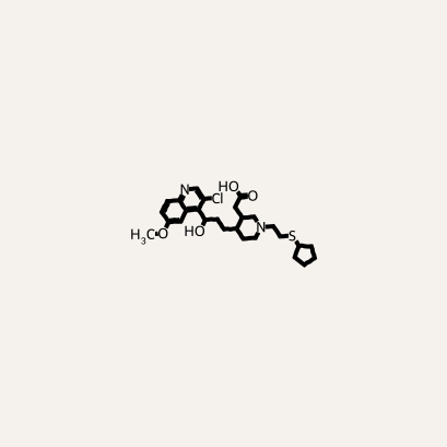 COc1ccc2ncc(Cl)c(C(O)CCC3CCN(CCSC4CCCC4)CC3CC(=O)O)c2c1